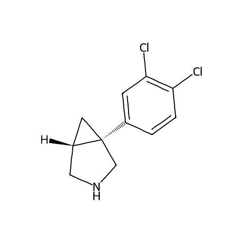 Clc1ccc([C@]23CNC[C@@H]2C3)cc1Cl